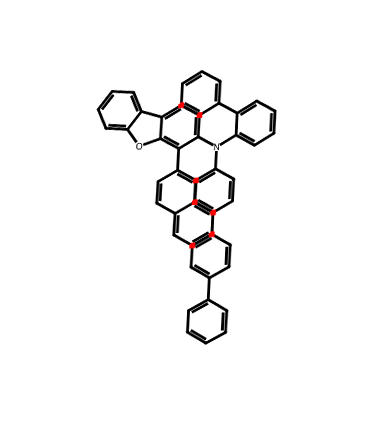 c1ccc(-c2ccc(-c3ccc(N(c4ccccc4-c4ccccc4)c4ccc5c(oc6ccccc65)c4-c4ccc5ccccc5c4)cc3)cc2)cc1